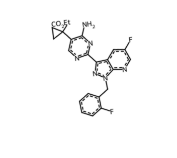 CCOC(=O)C1(c2cnc(-c3nn(Cc4ccccc4F)c4ncc(F)cc34)nc2N)CC1